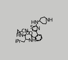 CC(C)C[C@H](NC(=O)c1ccccc1-c1csc(NC2CCNCC2)n1)C(=O)NC1(C#N)CC1